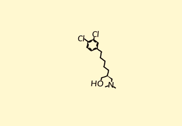 CN(C)C[C@@H](CO)CCCCCc1ccc(Cl)c(Cl)c1